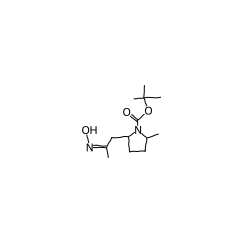 C/C(CC1CCC(C)N1C(=O)OC(C)(C)C)=N/O